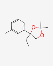 CCC1(c2cccc(C)c2)COC(C)(C)O1